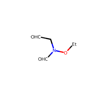 CCON(C=O)C[C]=O